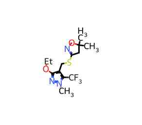 CCOc1nn(C)c(C(F)(F)F)c1CSC1=NOC(C)(C)C1